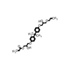 C=CCOCC(O)COc1ccc(C(C)(C)c2ccc(OCC(O)COC(=O)C=C)cc2)cc1